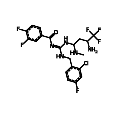 CNC(CC(N)C(F)(F)F)N/C(=N\C(=O)c1ccc(F)c(F)c1)NCc1ccc(F)cc1Cl